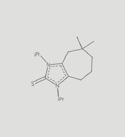 CC(C)n1c2c(n(C(C)C)c1=S)CC(C)(C)CCC2